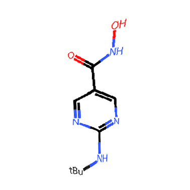 CC(C)(C)Nc1ncc(C(=O)NO)cn1